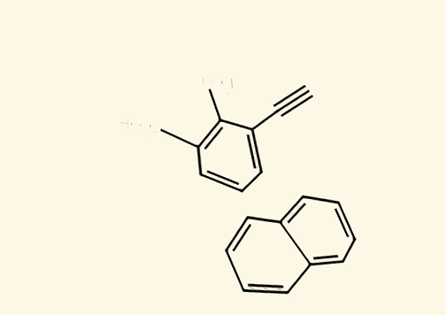 C#Cc1cccc(C(=O)O)c1C(=O)O.c1ccc2ccccc2c1